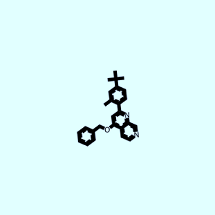 Cc1cc(C(C)(C)C)ccc1-c1cc(OCc2ccccc2)c2ccncc2n1